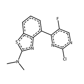 CN(C)c1nc2c(-c3nc(Cl)ncc3F)cccc2s1